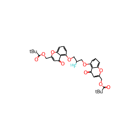 CC(C)(C)C(=O)OCc1cc(=O)c2c(OCC([18F])COc3cccc4oc(COC(=O)C(C)(C)C)cc(=O)c34)cccc2o1